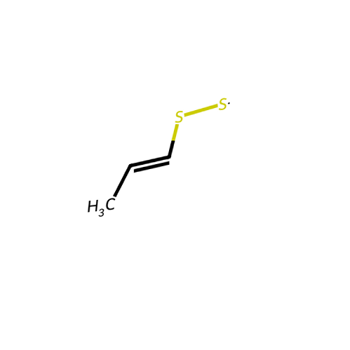 CC=CS[S]